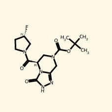 CC(C)(C)OC(=O)N1Cc2n[nH]c(=O)n2[C@@H](C(=O)N2CC[C@H](F)C2)C1